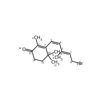 CC1=C(/C=C\C(C)=C\CBr)C(C)(C)CCC1=O